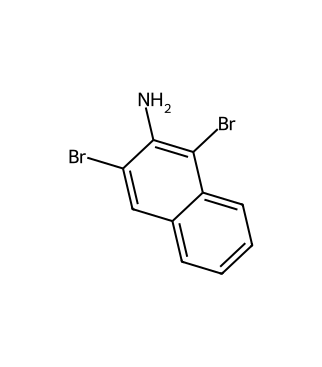 Nc1c(Br)cc2ccccc2c1Br